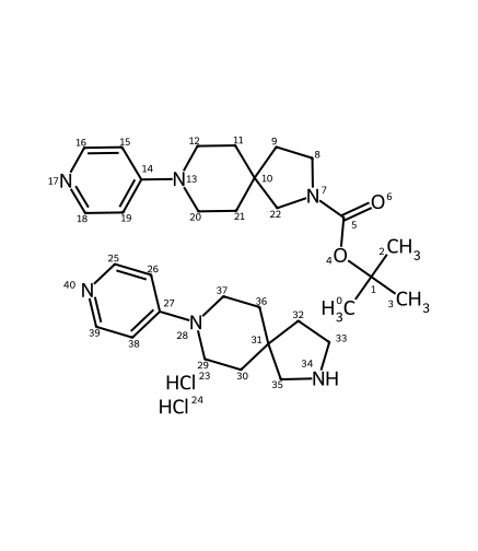 CC(C)(C)OC(=O)N1CCC2(CCN(c3ccncc3)CC2)C1.Cl.Cl.c1cc(N2CCC3(CCNC3)CC2)ccn1